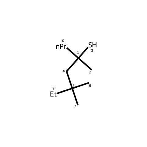 CCCC(C)(S)CC(C)(C)CC